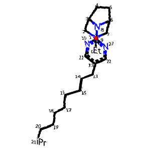 CCN1CC2CCC(C1)N2c1ncc(CCCCCCCCC(C)C)cn1